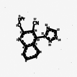 CCCOc1nc2ccccc2c(-n2ncnn2)c1C#N